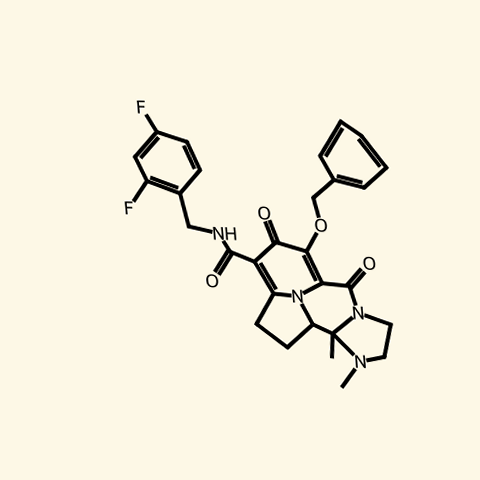 CN1CCN2C(=O)c3c(OCc4ccccc4)c(=O)c(C(=O)NCc4ccc(F)cc4F)c4n3C(CC4)C12C